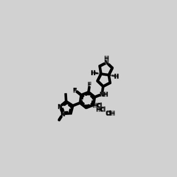 Cc1nn(C)cc1-c1ccc(NC2C[C@H]3CNC[C@H]3C2)c(F)c1F.Cl.Cl.Cl